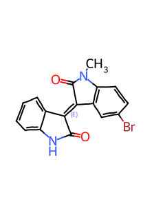 CN1C(=O)/C(=C2/C(=O)Nc3ccccc32)c2cc(Br)ccc21